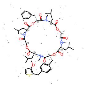 COc1ccsc1Cc1ccc(C[C@H]2OC(=O)[C@H](CC(C)C)N(C)C(=O)[C@@H](C)OC(=O)[C@H](CC(C)C)N(C)C(=O)[C@@H](Cc3ccccc3)OC(=O)[C@H](CC(C)C)N(C)C(=O)[C@@H](C)OC(=O)[C@H](CC(C)C)N(C)C2=O)cc1